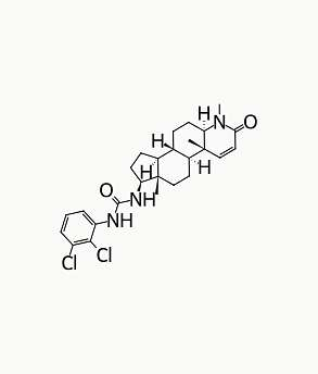 CN1C(=O)C=C[C@]2(C)[C@H]3CC[C@]4(C)[C@@H](NC(=O)Nc5cccc(Cl)c5Cl)CC[C@H]4[C@@H]3CC[C@@H]12